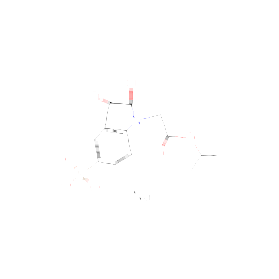 CC(C)OC(=O)CN1C(=O)C(=O)c2cc(S(=O)(=O)[O-])ccc21.[Na+]